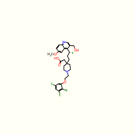 COc1ccc2ncc(CO)c([C@H](F)CCC3(CC(=O)O)CCN(CCOc4cc(F)cc(F)c4F)CC3)c2c1